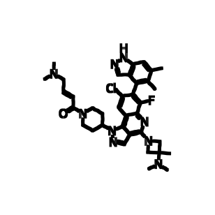 Cc1cc2[nH]ncc2c(-c2c(Cl)cc3c(nc(N4CC(C)(N(C)C)C4)c4cnn(C5CCN(C(=O)/C=C/CN(C)C)CC5)c43)c2F)c1C